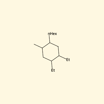 CCCCCCC1CC(CC)C(CC)CC1C